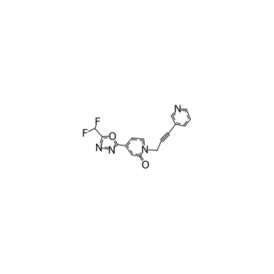 O=c1cc(-c2nnc(C(F)F)o2)ccn1CC#Cc1cccnc1